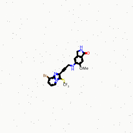 COc1cc2c(cc1NCC#Cc1nc3c(Br)cccn3c1SC(F)(F)F)CNC2=O